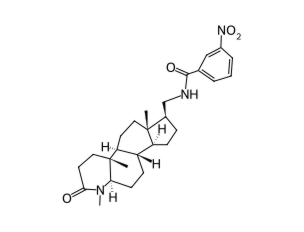 CN1C(=O)CC[C@]2(C)[C@H]3CC[C@]4(C)[C@@H](CNC(=O)c5cccc([N+](=O)[O-])c5)CC[C@H]4[C@@H]3CC[C@@H]12